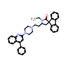 O=C(NCC(F)(F)F)C1(CCCCN2CCN(c3cc(-c4ccccc4)c4ccccc4n3)CC2)c2ccccc2-c2ccccc21